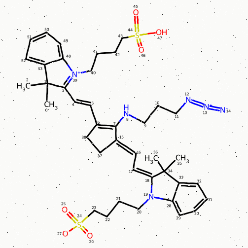 CC1(C)C(/C=C/C2=C(NCCCN=[N+]=[N-])C(=C/C=C3/N(CCCCS(=O)(=O)[O-])c4ccccc4C3(C)C)/CC2)=[N+](CCCCS(=O)(=O)O)c2ccccc21